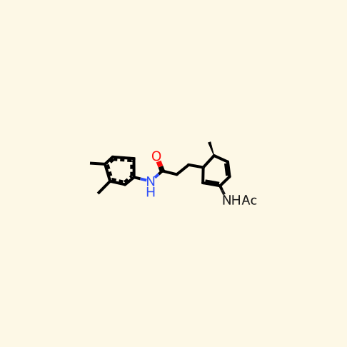 CC(=O)NC1=CC(CCC(=O)Nc2ccc(C)c(C)c2)[C@@H](C)C=C1